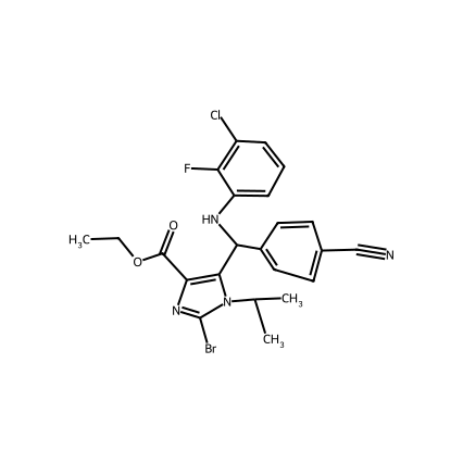 CCOC(=O)c1nc(Br)n(C(C)C)c1C(Nc1cccc(Cl)c1F)c1ccc(C#N)cc1